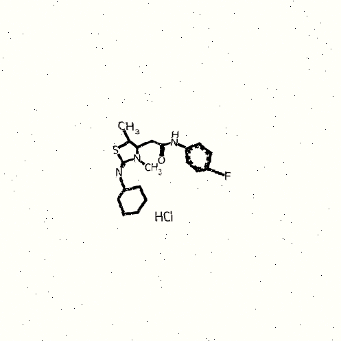 CC1SC(=NC2CCCCC2)N(C)C1CC(=O)Nc1ccc(F)cc1.Cl